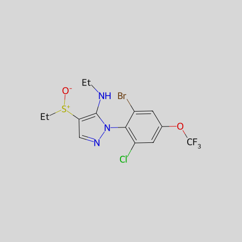 CCNc1c([S+]([O-])CC)cnn1-c1c(Cl)cc(OC(F)(F)F)cc1Br